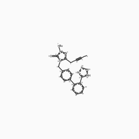 CC#CCc1nn(CCCC)c(=O)n1Cc1ccc(-c2ccccc2-c2nnn[nH]2)cc1